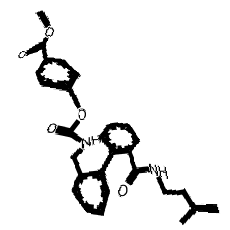 COC(=O)c1ccc(OC(=O)NCc2ccccc2-c2ccccc2C(=O)NCCC(C)C)cc1